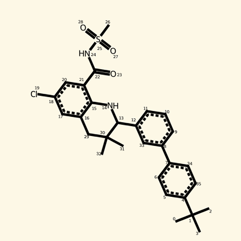 CC(C)(C)c1ccc(-c2cccc(C3Nc4c(cc(Cl)cc4C(=O)NS(C)(=O)=O)CC3(C)C)c2)cc1